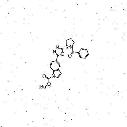 CC(C)(C)OC(=O)n1ccc2cc(-c3nnc([C@@H]4CCCN4C(=O)c4ccccc4)o3)ccc21